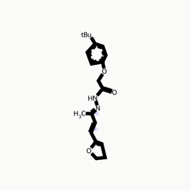 CC(/C=C/C1=CCCO1)=N\NC(=O)COc1ccc(C(C)(C)C)cc1